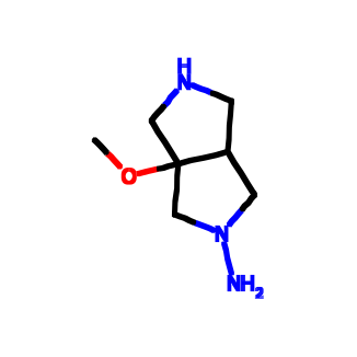 COC12CNCC1CN(N)C2